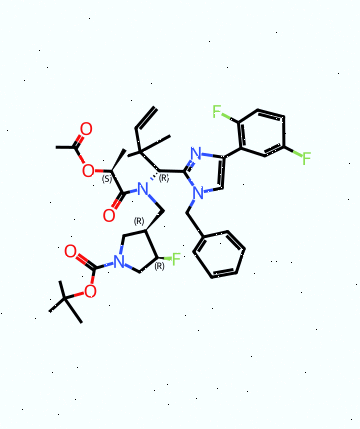 C=CC(C)(C)[C@H](c1nc(-c2cc(F)ccc2F)cn1Cc1ccccc1)N(C[C@@H]1CN(C(=O)OC(C)(C)C)C[C@@H]1F)C(=O)[C@H](C)OC(C)=O